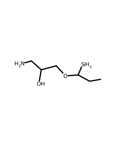 CCC([SiH3])OCC(O)CN